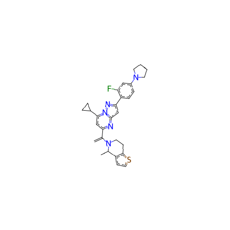 C=C(c1cc(C2CC2)n2nc(-c3ccc(N4CCCC4)cc3F)cc2n1)N1CCc2sccc2C1C